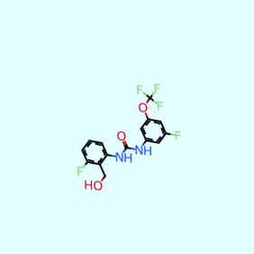 O=C(Nc1cc(F)cc(OC(F)(F)F)c1)Nc1cccc(F)c1CO